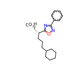 O=C(O)C[C@@H](CCCC1CCCCC1)c1nc(-c2ccccc2)no1